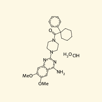 COc1cc2nc(N3CCN(C(=O)C4(c5ccccc5)CCCCC4)CC3)nc(N)c2cc1OC.Cl.O